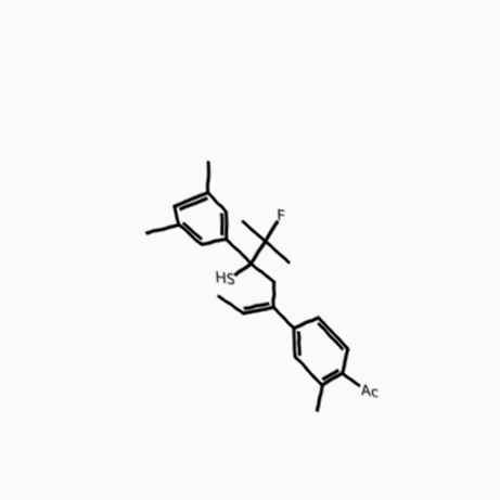 C/C=C(\CC(S)(c1cc(C)cc(C)c1)C(C)(C)F)c1ccc(C(C)=O)c(C)c1